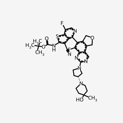 CC1(O)CCN([C@@H]2CCN(c3ncc4c5c(c(-c6ncc(F)c7sc(NC(=O)OC(C)(C)C)c(C#N)c67)c(F)c4n3)COC5)C2)CC1